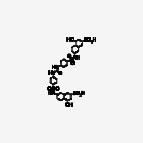 O=C(Nc1ccc(S(=O)(=O)Nc2ccc3c(O)cc(S(=O)(=O)O)cc3c2)cc1)Nc1ccc(S(=O)(=O)Nc2ccc3c(O)cc(S(=O)(=O)O)cc3c2)cc1